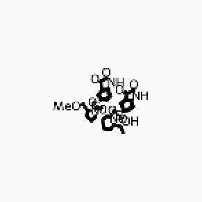 CC(O)C1CCCCN1S(=O)(=O)c1ccc2c(c1)C(=O)C(=O)N2.COCC1CCCN1S(=O)(=O)c1ccc2c(c1)C(=O)C(=O)N2